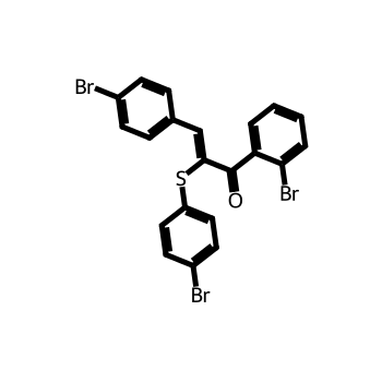 O=C(C(=Cc1ccc(Br)cc1)Sc1ccc(Br)cc1)c1ccccc1Br